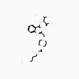 CCCCNC(=O)N1CCN(Cc2nc(N[C@H](C(N)=O)C(C)C)c3ccccc3n2)CC1